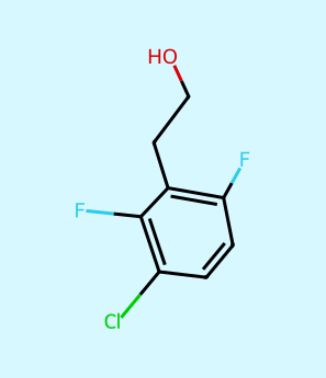 OCCc1c(F)ccc(Cl)c1F